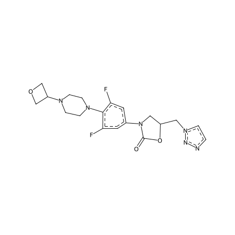 O=C1OC(Cn2ccnn2)CN1c1cc(F)c(N2CCN(C3COC3)CC2)c(F)c1